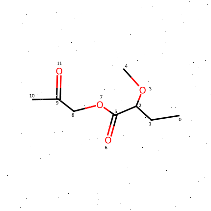 CCC(OC)C(=O)OCC(C)=O